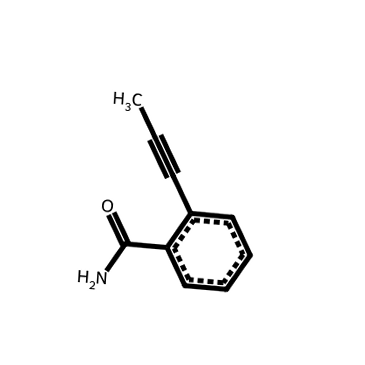 CC#Cc1ccccc1C(N)=O